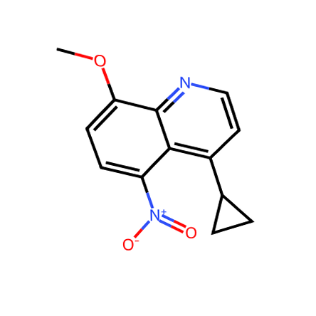 COc1ccc([N+](=O)[O-])c2c(C3CC3)ccnc12